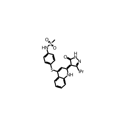 CC(C)C1=NNC(=O)C1=C1C=C(Sc2ccc(NS(C)(=O)=O)cc2)c2ccccc2N1